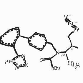 CCCCC(=O)N(Cc1ccc(-c2ccccc2-c2nnn[nH]2)cc1)[C@H](C(=O)O)[C@H](C)CN=[N+]=[N-]